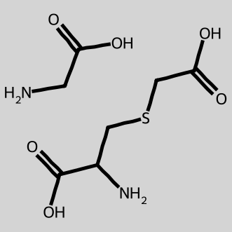 NC(CSCC(=O)O)C(=O)O.NCC(=O)O